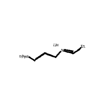 [CH2]CC=NCCCCCCCC.[LiH]